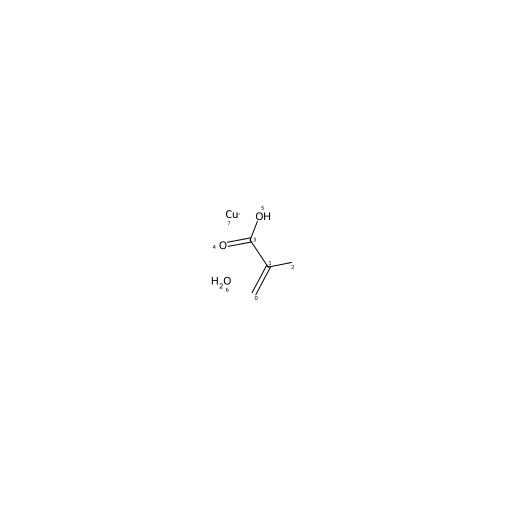 C=C(C)C(=O)O.O.[Cu]